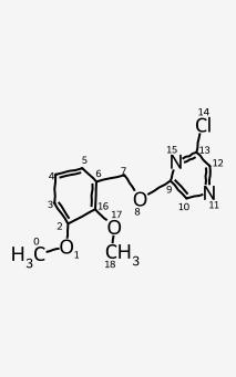 COc1cccc(COc2cncc(Cl)n2)c1OC